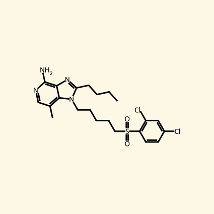 CCCCc1nc2c(N)ncc(C)c2n1CCCCCS(=O)(=O)c1ccc(Cl)cc1Cl